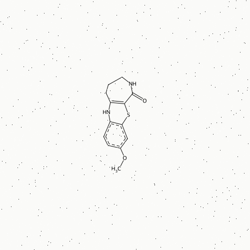 COc1ccc2c(c1)SC1=C(CCCNC1=O)N2